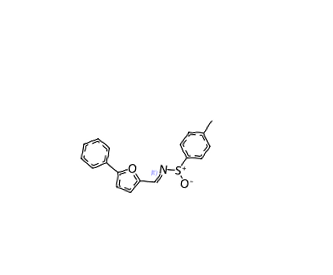 Cc1ccc([S+]([O-])/N=C/c2ccc(-c3ccccc3)o2)cc1